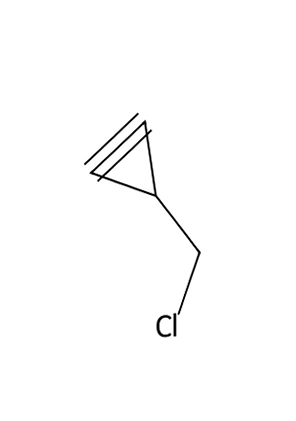 ClCC1C#C1